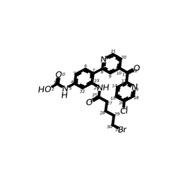 O=C(O)Nc1ccc(-c2cc(C(=O)c3ccc(Cl)cn3)ccn2)c(NC(=O)CCCCBr)c1